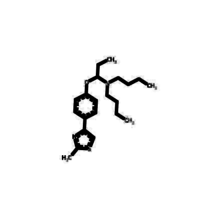 CCCCN(CCCC)C(CC)Oc1ccc(-c2csc(C)n2)cc1